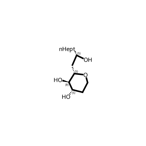 CCCCCCC[C@H](O)C[C@@H]1OCC[C@H](O)[C@H]1O